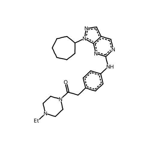 CCN1CCN(C(=O)Cc2ccc(Nc3ncc4cnn(C5CCCCCC5)c4n3)cc2)CC1